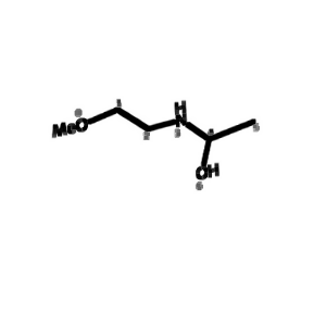 COCCNC(C)O